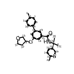 Cc1ccc(-c2cc(OC3CCOC3)cc(C(=O)N[C@](C)(I)c3ccc(C)nc3)c2)cc1